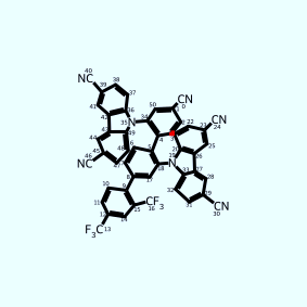 N#Cc1ccc(-c2ccc(-c3ccc(C(F)(F)F)cc3C(F)(F)F)cc2-n2c3ccc(C#N)cc3c3cc(C#N)ccc32)c(-n2c3ccc(C#N)cc3c3cc(C#N)ccc32)c1